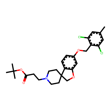 Cc1cc(Cl)c(COc2ccc3c(c2)OCC32CCN(CCC(=O)OC(C)(C)C)CC2)c(Cl)c1